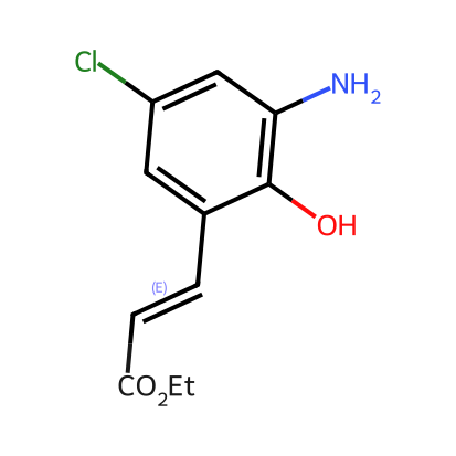 CCOC(=O)/C=C/c1cc(Cl)cc(N)c1O